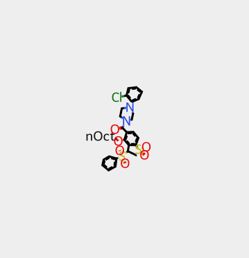 CCCCCCCCOc1c(C(=O)N2CCN(c3ccccc3Cl)CC2)ccc2c1C(S(=O)(=O)c1ccccc1)CS2(=O)=O